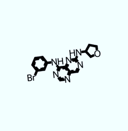 Brc1cccc(Nc2ncnc3cnc(NC4CCOC4)nc23)c1